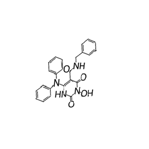 O=C(NCc1ccccc1)c1c(N(c2ccccc2)c2ccccc2)[nH]c(=O)n(O)c1=O